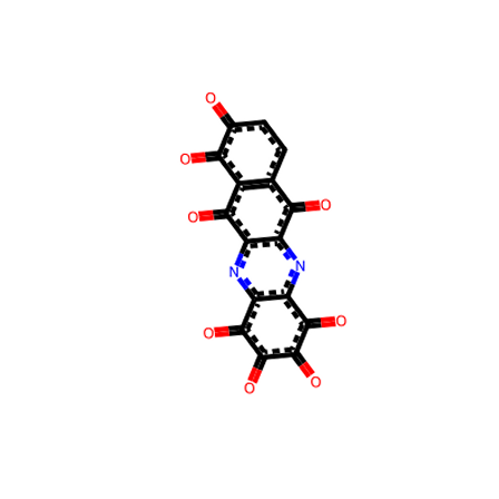 O=c1ccc2c(=O)c3nc4c(=O)c(=O)c(=O)c(=O)c4nc3c(=O)c=2c1=O